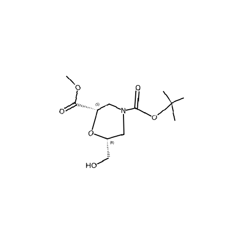 COC(=O)[C@@H]1CN(C(=O)OC(C)(C)C)C[C@H](CO)O1